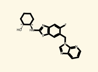 O[C@@H]1CCCC[C@H]1Nc1nc2cc(F)c(Cn3cnc4cccnc43)cc2s1